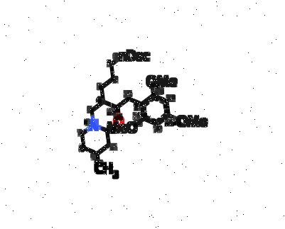 CCCCCCCCCCCCCC(CN1CCC(C)CC1)C(=O)Cc1c(OC)cc(OC)cc1OC